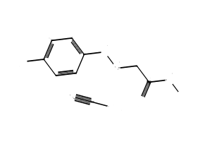 CC#N.COC(=O)CNSc1ccc(C)cc1